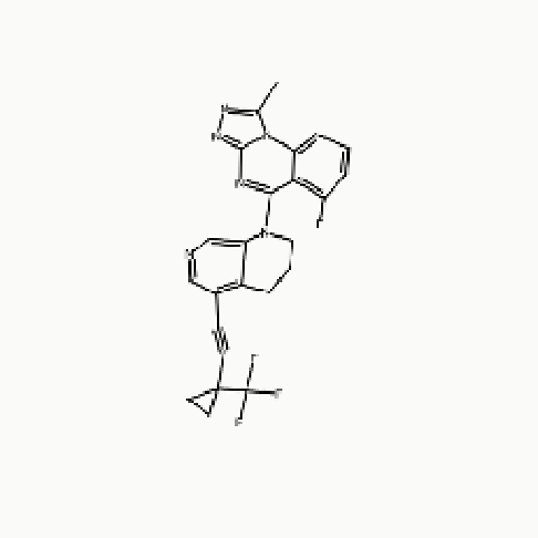 Cc1nnc2nc(N3CCCc4c(C#CC5(C(F)(F)F)CC5)cncc43)c3c(F)cccc3n12